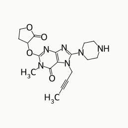 CC#CCn1c(N2CCNCC2)nc2nc(OC3CCOC3=O)n(C)c(=O)c21